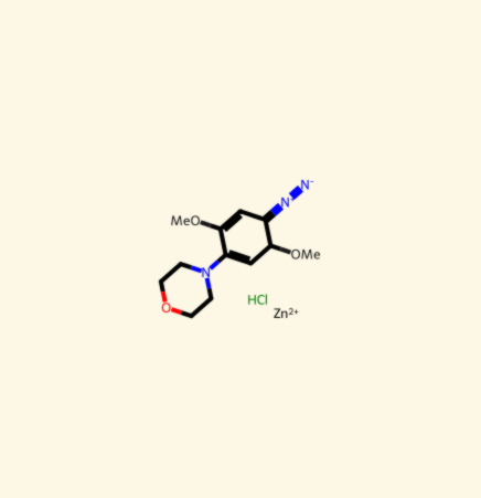 COC1=CC(=[N+]=[N-])C(OC)C=C1N1CCOCC1.Cl.[Zn+2]